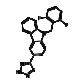 Fc1cccc(F)c1Cn1c2ccccc2c2cc(-c3nn[nH]n3)ccc21